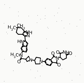 CN(C(=O)C1CN(C2CCN(c3ccc4c(c3)C(=O)N(C3CCC(=O)NC3=O)C4=O)CC2)C1)c1ccc2cc(-c3n[nH]c4c3CCC(C)(C)C4)[nH]c2c1